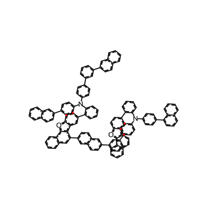 c1cc(-c2ccc(N(c3ccc(-c4ccc5ccccc5c4)cc3)c3ccccc3-c3ccc4oc5c6ccccc6cc(-c6ccc7cc(-c8cccc(-c9ccc(N(c%10ccc(-c%11cccc%12ccccc%11%12)cc%10)c%10ccccc%10-c%10ccc%11oc%12c%13ccccc%13ccc%12c%11c%10)cc9)c8)ccc7c6)c5c4c3)cc2)cc(-c2ccc3ccccc3c2)c1